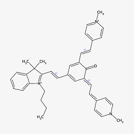 CCCC[N+]1=C(/C=C/C2=CC(=C\C=C3C=CN(C)C=C3)/C(=O)C(/C=C/c3cc[n+](C)cc3)=C2)C(C)(C)c2ccccc21